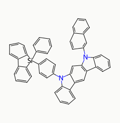 c1ccc([Si]2(c3ccc(-n4c5ccccc5c5cc6c7ccccc7n(-c7ccc8ccccc8c7)c6cc54)cc3)c3ccccc3-c3ccccc32)cc1